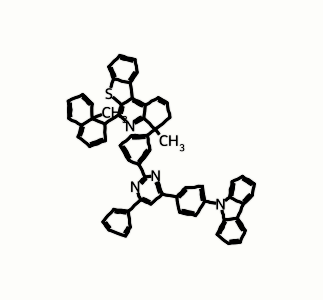 CC1(c2cccc(-c3nc(-c4ccccc4)cc(-c4ccc(-n5c6ccccc6c6ccccc65)cc4)n3)c2)CC=Cc2c1nc(C1C=CC=C3C=CC=CC31C)c1sc3ccccc3c21